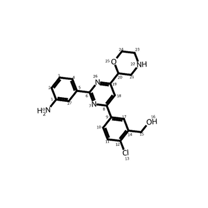 Nc1cccc(-c2nc(-c3ccc(Cl)c(CO)c3)cc(C3CNCCO3)n2)c1